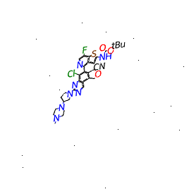 CN1CCN([C@H]2CCN(c3ncc4c5c(c(-c6ncc(F)c7sc(NC(=O)OC(C)(C)C)c(C#N)c67)c(Cl)c4n3)COC5)C2)CC1